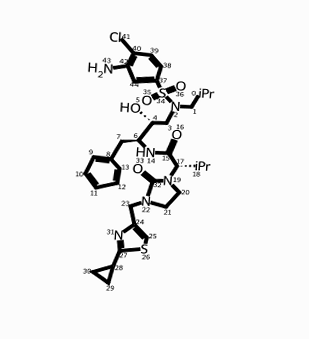 CC(C)CN(C[C@@H](O)[C@H](Cc1ccccc1)NC(=O)[C@H](C(C)C)N1CCN(Cc2csc(C3CC3)n2)C1=O)S(=O)(=O)c1ccc(Cl)c(N)c1